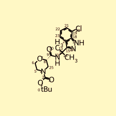 CC(C)(C)OC(=O)N1CCO[C@H](C(=O)NC(C)(C)c2n[nH]c3c(Cl)cccc23)C1